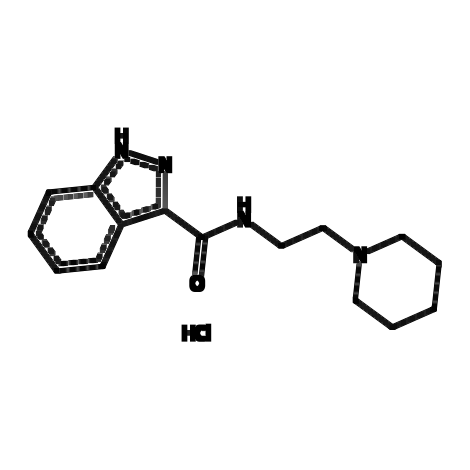 Cl.O=C(NCCN1CCCCC1)c1n[nH]c2ccccc12